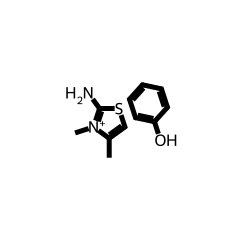 Cc1csc(N)[n+]1C.Oc1ccccc1